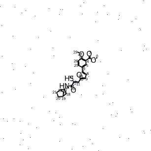 COC(=O)c1cc(-c2ccc(/C=C(\S)C(=O)NC3CC4CCC3C4)o2)ccc1OC